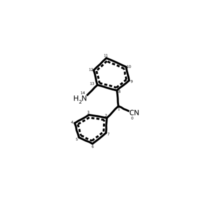 N#CC(c1ccccc1)c1ccccc1N